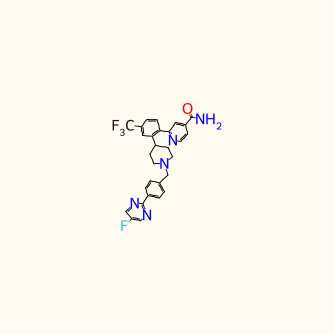 NC(=O)c1ccnc(-c2ccc(C(F)(F)F)cc2C2CCN(Cc3ccc(-c4ncc(F)cn4)cc3)CC2)c1